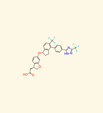 O=C(O)C[C@@H]1COc2cc(O[C@@H]3CCc4c3ccc(C(F)(F)F)c4-c3ccc(-c4nc(C(F)(F)F)n[nH]4)cc3)ccc21